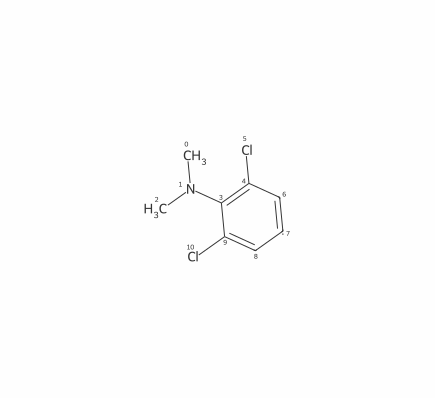 CN(C)c1c(Cl)c[c]cc1Cl